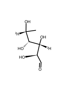 [2H][C@@](O)([C@H](O)C=O)[C@H](O)[C@@]([2H])(C)O